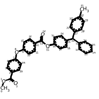 COC(=O)c1ccc(Oc2ccc(C(=O)Oc3ccc(C(c4ccccc4)c4ccc(C)cc4)cc3)cc2)cc1